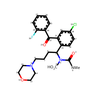 CNC(=O)N(C(=O)O)C(CCCN1CCOCC1)c1ccc(Cl)cc1C(=O)c1ccccc1F